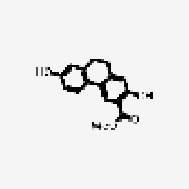 COC(=O)c1cc2c(cc1O)CCc1cc(O)ccc1-2